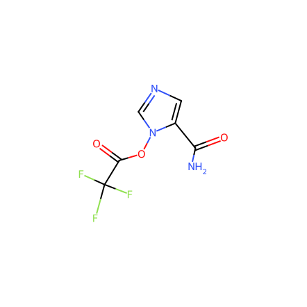 NC(=O)c1cncn1OC(=O)C(F)(F)F